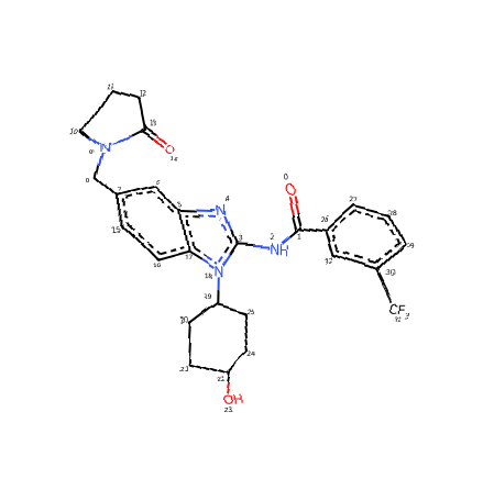 O=C(Nc1nc2cc(CN3CCCC3=O)ccc2n1C1CCC(O)CC1)c1cccc(C(F)(F)F)c1